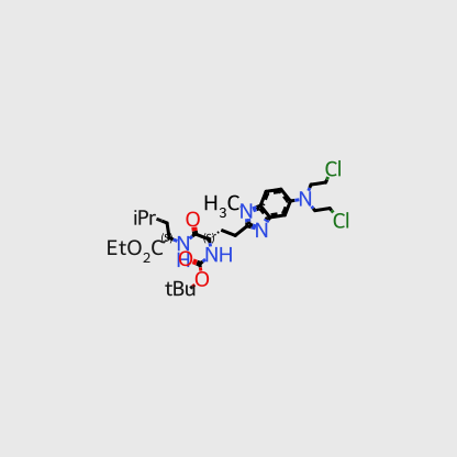 CCOC(=O)[C@H](CC(C)C)NC(=O)[C@H](CCc1nc2cc(N(CCCl)CCCl)ccc2n1C)NC(=O)OC(C)(C)C